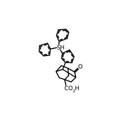 O=C1C2CC3CC(C(=O)O)(C2)CC1C3c1cccc([SH](c2ccccc2)c2ccccc2)c1